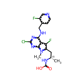 C[C@@H](Cc1c(F)c2c(NCc3ccncc3F)nc(Cl)nc2n1C)NC(=O)O